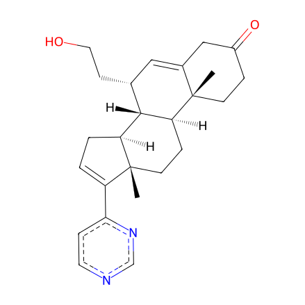 C[C@]12CCC(=O)CC1=C[C@@H](CCO)[C@@H]1[C@@H]2CC[C@]2(C)C(c3ccncn3)=CC[C@@H]12